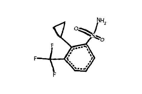 NS(=O)(=O)c1cccc(C(F)(F)F)c1C1CC1